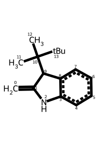 C=C1Nc2ccccc2C1C(C)(C)C(C)(C)C